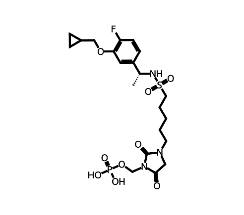 C[C@@H](NS(=O)(=O)CCCCCN1CC(=O)N(COP(=O)(O)O)C1=O)c1ccc(F)c(OCC2CC2)c1